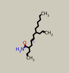 C=CCC(C/C=C/CC(CC=C)C(N)=O)CCCCCC